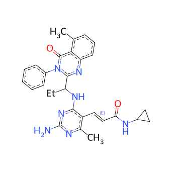 CCC(Nc1nc(N)nc(C)c1/C=C/C(=O)NC1CC1)c1nc2cccc(C)c2c(=O)n1-c1ccccc1